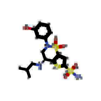 CC(C)CN[C@@H]1CN(c2cccc(O)c2)S(=O)(=O)c2cc(S(N)(=O)=O)sc21